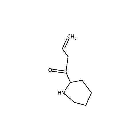 C=CCC(=O)C1CCCCN1